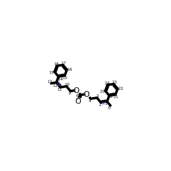 C/C(=C/CCOC(=O)OCC/C=C(/C)c1ccccc1)c1ccccc1